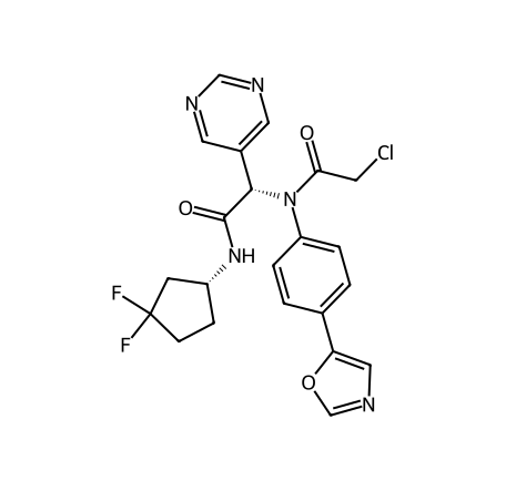 O=C(N[C@@H]1CCC(F)(F)C1)[C@H](c1cncnc1)N(C(=O)CCl)c1ccc(-c2cnco2)cc1